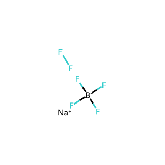 FF.F[B-](F)(F)F.[Na+]